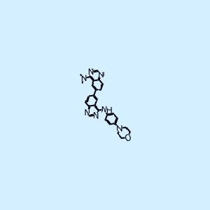 CN(C)c1ncnc2ccc(-c3ccc4ncnc(Nc5ccc(N6CCOCC6)cc5)c4c3)cc12